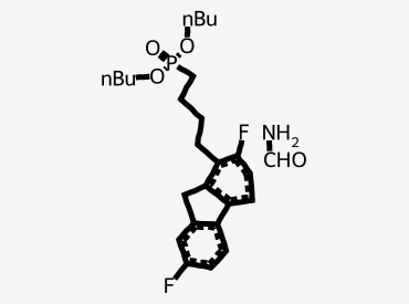 CCCCOP(=O)(CCCCc1c(F)ccc2c1Cc1cc(F)ccc1-2)OCCCC.NC=O